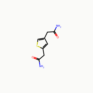 NC(=O)Cc1csc(CC(N)=O)c1